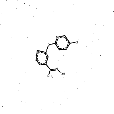 N/C(=N\O)c1cccc(Oc2ccc(Cl)cn2)c1